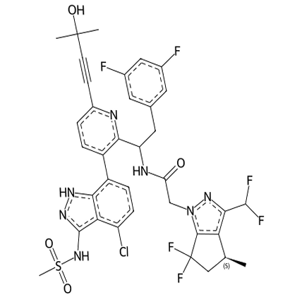 C[C@H]1CC(F)(F)c2c1c(C(F)F)nn2CC(=O)NC(Cc1cc(F)cc(F)c1)c1nc(C#CC(C)(C)O)ccc1-c1ccc(Cl)c2c(NS(C)(=O)=O)n[nH]c12